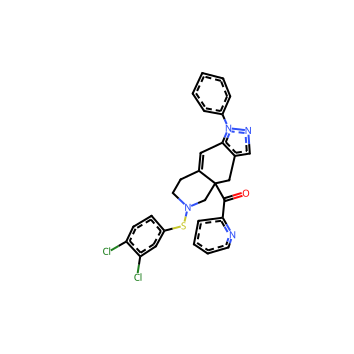 O=C(c1ccccn1)C12Cc3cnn(-c4ccccc4)c3C=C1CCN(Sc1ccc(Cl)c(Cl)c1)C2